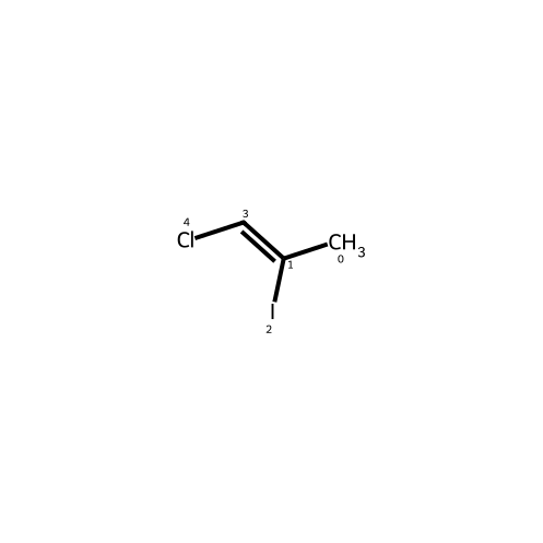 CC(I)=CCl